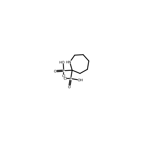 O=P(O)(Cl)C1(P(=O)(O)Cl)CCCCCN1